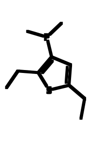 CCc1cc(P(C)C)c(CC)s1